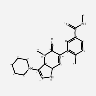 CNC(=O)c1ccc(C)c(C2=CC3NN=C(N4CCCCC4)C3N(C)C2=O)c1